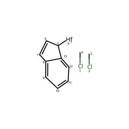 CCl.CCl.[Hf][CH]1C=Cc2ccccc21